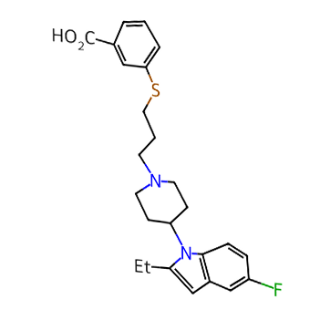 CCc1cc2cc(F)ccc2n1C1CCN(CCCSc2cccc(C(=O)O)c2)CC1